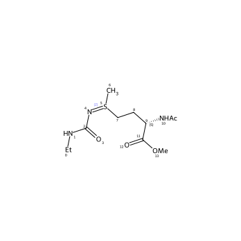 CCNC(=O)/N=S(/C)CC[C@H](NC(C)=O)C(=O)OC